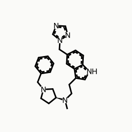 CN(CCc1c[nH]c2ccc(Cn3cncn3)cc12)[C@H]1CCN(Cc2ccccc2)C1